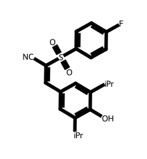 CC(C)c1cc(C=C(C#N)S(=O)(=O)c2ccc(F)cc2)cc(C(C)C)c1O